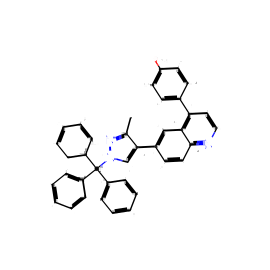 Cc1nn(C(c2ccccc2)(c2ccccc2)C2C=CC=CC2)cc1-c1ccc2nccc(-c3ccc(O)cc3)c2c1